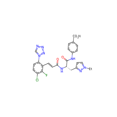 CCn1ccc(C[C@H](NC(=O)C=Cc2c(-n3cnnn3)ccc(Cl)c2F)C(=O)Nc2ccc(C(=O)O)cc2)n1